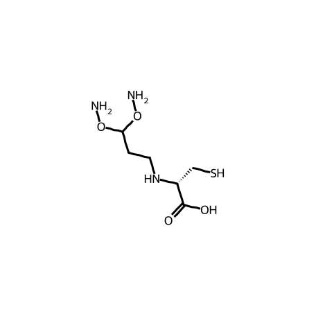 NOC(CCN[C@H](CS)C(=O)O)ON